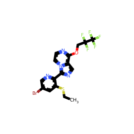 CCSc1cc(Br)cnc1-c1ncc2c(OCC(F)(F)C(F)(F)F)nccn12